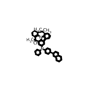 CC1(C)C2=C3C(CC=C2)C(C)(C)c2cccc4c5cc(N(c6ccccc6)c6ccc(-c7ccc8ccccc8c7)cc6)cc1c5n3c24